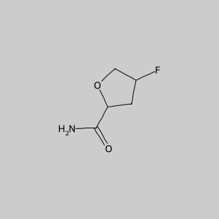 NC(=O)C1CC(F)CO1